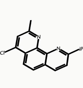 Cc1cc(Cl)c2ccc3ccc(C(C)C)nc3c2n1